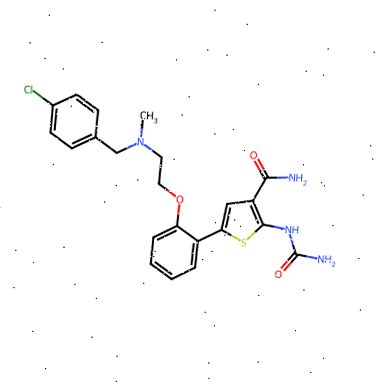 CN(CCOc1ccccc1-c1cc(C(N)=O)c(NC(N)=O)s1)Cc1ccc(Cl)cc1